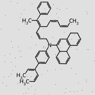 C/C=C\C=C/CC(/C=C\CN(C1=CC2=C(C=CCC2)C2C=CC=CC12)c1ccc(C(/C=C\C)=C/C)cc1)=C(/C)c1ccccc1